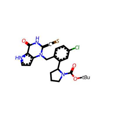 CC(C)(C)OC(=O)N1CCCC1c1cc(Cl)ccc1CN1C(=C=S)NC(=O)c2[nH]ccc21